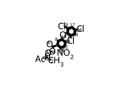 CC(=O)N(C)OOC(=O)c1cc(Oc2c(Cl)cc(Cl)cc2Cl)ccc1[N+](=O)[O-]